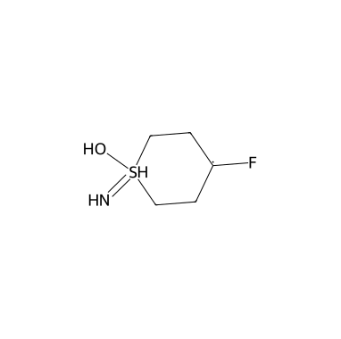 N=[SH]1(O)CC[C](F)CC1